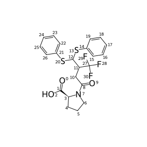 O=C(O)[C@@H]1CCCN1C(=O)CC(C(Sc1ccccc1)Sc1ccccc1)C(F)(F)F